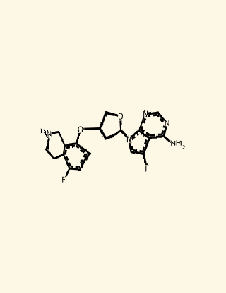 Nc1ncnc2c1c(F)cn2C1CC(Oc2ccc(F)c3c2CNCC3)CO1